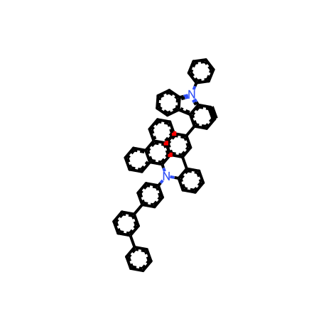 c1cc(-c2cccc(-c3ccccc3N(c3ccc(-c4cccc(-c5ccccc5)c4)cc3)c3cc4ccccc4c4ccccc34)c2)c2c3ccccc3n(-c3ccccc3)c2c#1